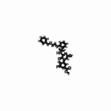 COC(=O)c1cc(F)c(C)c(-n2cc(Br)nc(NC(C)(C)c3ccccc3SCCOCc3ccccc3)c2=O)c1